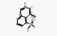 CS(=O)(=O)c1cccc2cncc(Br)c12